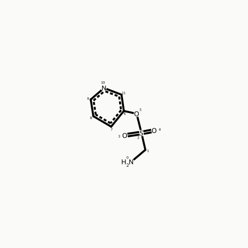 NCS(=O)(=O)Oc1cccnc1